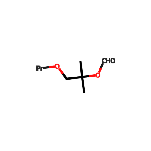 CC(C)OCC(C)(C)OC=O